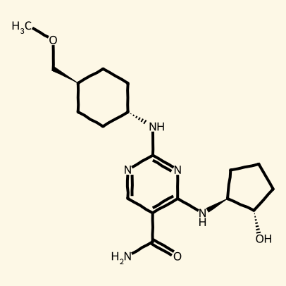 COC[C@H]1CC[C@H](Nc2ncc(C(N)=O)c(N[C@H]3CCC[C@@H]3O)n2)CC1